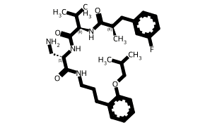 CC(C)COc1ccccc1CCCNC(=O)[C@H](CN)NC(=O)[C@H](NC(=O)[C@H](C)Cc1cccc(F)c1)C(C)C